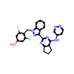 Oc1cc(F)c(Cn2nc(-c3nc4c(c(Nc5ccnnc5)n3)CCC4)c3ccccc32)c(F)c1